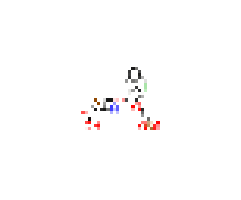 Cc1cccc(C)c1-c1cc(COc2cc3c(cn2)[C@H](CC(=O)O)CS3)c(OCCCS(C)(=O)=O)cc1F